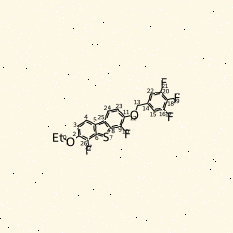 CCOc1ccc2c(sc3c(F)c(OCc4cc(F)c(F)c(F)c4)ccc32)c1F